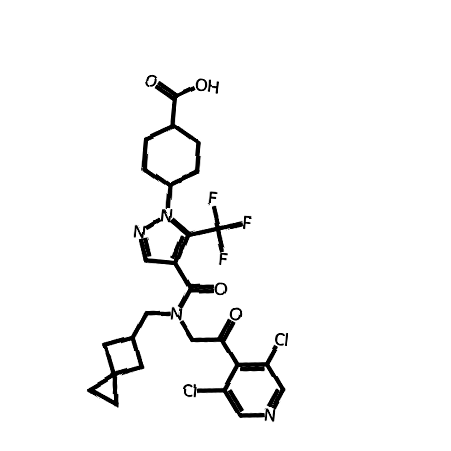 O=C(CN(CC1CC2(CC2)C1)C(=O)c1cnn(C2CCC(C(=O)O)CC2)c1C(F)(F)F)c1c(Cl)cncc1Cl